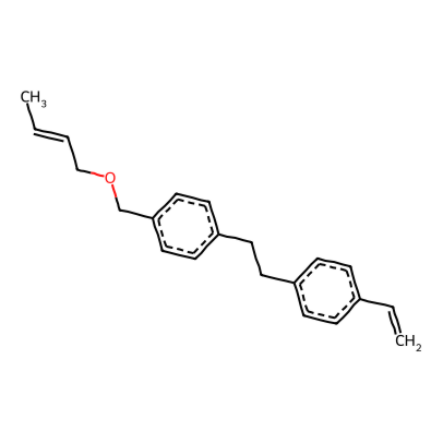 C=Cc1ccc(CCc2ccc(COC/C=C/C)cc2)cc1